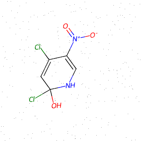 O=[N+]([O-])C1=CNC(O)(Cl)C=C1Cl